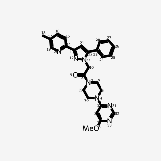 COc1cc(N2CCN(C(=O)Cn3nc(-c4ccc(C)cn4)cc3-c3ccccc3)CC2)ncn1